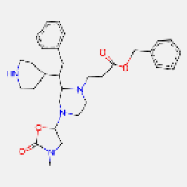 CN1CC(N2CCN(CCC(=O)OCc3ccccc3)C(C(Cc3ccccc3)C3CCNCC3)C2)OC1=O